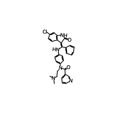 CN(C)CCN(C(=O)c1cccnc1)c1ccc(NC(=C2C(=O)Nc3cc(Cl)ccc32)c2ccccc2)cc1